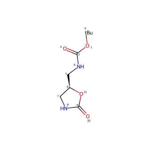 CC(C)(C)OC(=O)NC[C@@H]1CNC(=O)O1